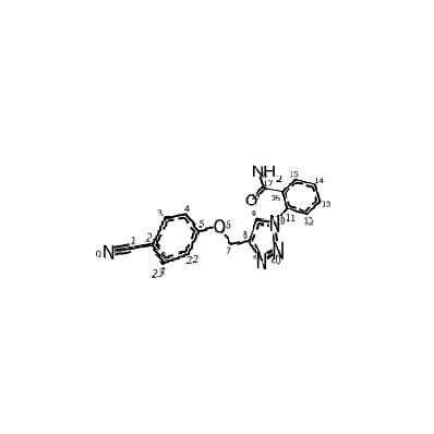 N#Cc1ccc(OCc2cn(-c3ccccc3C(N)=O)nn2)cc1